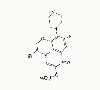 CC(C)C1=COc2c(N3CCNCC3)c(F)cc3c(=O)c(OC(=O)O)cn1c23